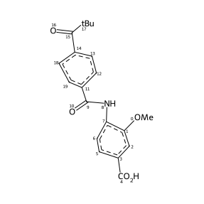 COc1cc(C(=O)O)ccc1NC(=O)c1ccc(C(=O)C(C)(C)C)cc1